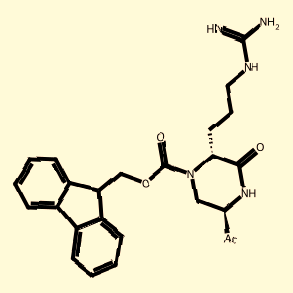 CC(=O)[C@H]1CN(C(=O)OCC2c3ccccc3-c3ccccc32)[C@H](CCCNC(=N)N)C(=O)N1